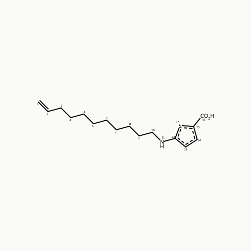 C=CCCCCCCCCCNc1ccc(C(=O)O)s1